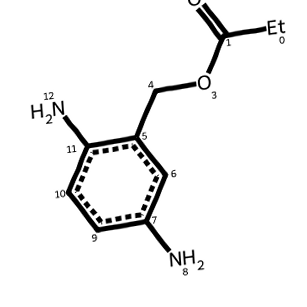 CCC(=O)OCc1cc(N)ccc1N